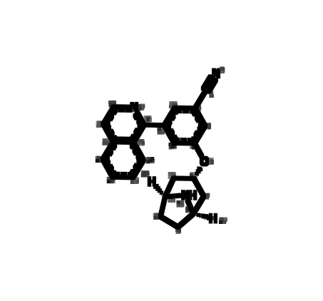 N#Cc1cc(O[C@@H]2C[C@H]3CC[C@@H](C2)N3)cc(-c2nccc3ccccc23)c1